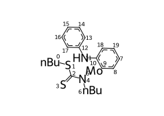 CCCCSC(=S)[N]([Mo])CCCC.c1ccc(Nc2ccccc2)cc1